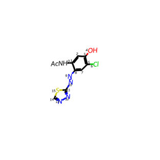 CC(=O)Nc1cc(O)c(Cl)cc1/N=N/c1nncs1